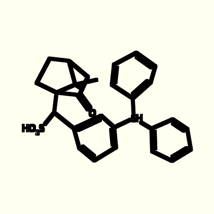 CC1(C)C2CCC1(C(c1cccc([SH](c3ccccc3)c3ccccc3)c1)S(=O)(=O)O)C(=O)C2